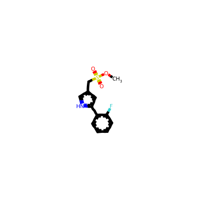 COS(=O)(=O)Cc1c[nH]c(-c2ccccc2F)c1